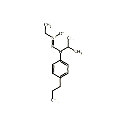 CCCc1ccc(N(N=[N+]([O-])CC)C(C)C)cc1